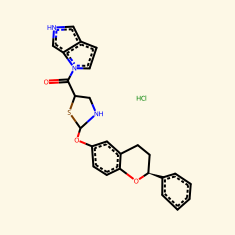 Cl.O=C(C1CNC(Oc2ccc3c(c2)CC[C@@H](c2ccccc2)O3)S1)n1ccc2c[nH]cc21